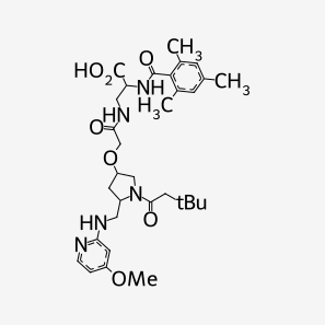 COc1ccnc(NCC2CC(OCC(=O)NCC(NC(=O)c3c(C)cc(C)cc3C)C(=O)O)CN2C(=O)CC(C)(C)C)c1